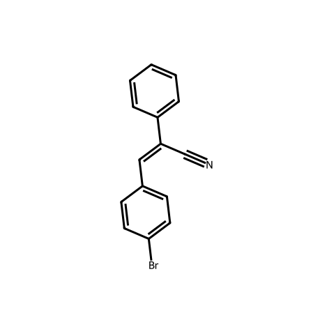 N#CC(=Cc1ccc(Br)cc1)c1ccccc1